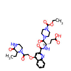 CCOC(=O)N1CCN(C(=O)[C@H](CCC(=O)O)NC(=O)c2cc(OCC(=O)N3CCNC(=O)C3CC)c3ccccc3n2)CC1